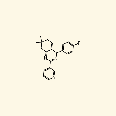 CC1(C)CC=C2C(=NC(c3cccnc3)=NC2c2ccc(F)cc2)C1